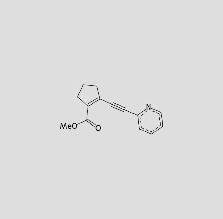 COC(=O)C1=C(C#Cc2ccccn2)CCC1